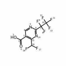 O=C(O)c1cnc(C(F)(F)C(F)(F)F)nc1C(F)F